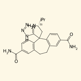 CC(C)[C@@H](N)CC1(c2nnn[nH]2)c2ccc(C(N)=O)cc2CCc2cc(C(N)=O)ccc21